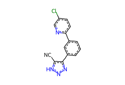 N#Cc1[nH]nnc1-c1cccc(-c2ccc(Cl)cn2)c1